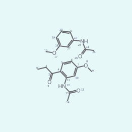 CCC(=O)c1ccc(OC)cc1NC(C)=O.COc1cccc(NC(C)=O)c1